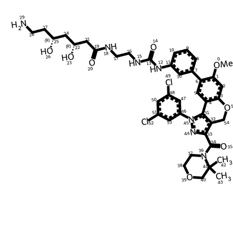 COc1cc2c(cc1-c1cccc(NC(=O)NCCNC(=O)C[C@H](O)C[C@H](O)CCN)c1)-c1c(c(C(=O)N3CCOCC3(C)C)nn1-c1cc(Cl)cc(Cl)c1)CO2